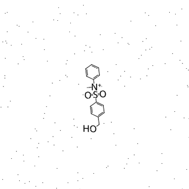 C[N+](C)(c1ccccc1)S(=O)(=O)c1ccc(CO)cc1